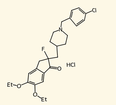 CCOc1cc2c(cc1OCC)C(=O)C(F)(CC1CCN(Cc3ccc(Cl)cc3)CC1)C2.Cl